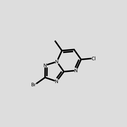 Cc1cc(Cl)nc2nc(Br)nn12